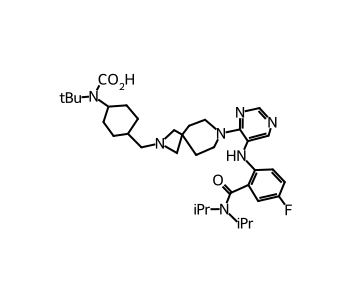 CC(C)N(C(=O)c1cc(F)ccc1Nc1cncnc1N1CCC2(CC1)CN(CC1CCC(N(C(=O)O)C(C)(C)C)CC1)C2)C(C)C